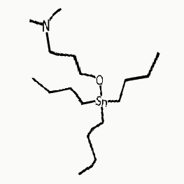 CCC[CH2][Sn]([CH2]CCC)([CH2]CCC)[O]CCCN(C)C